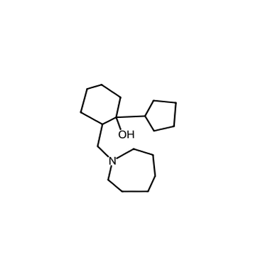 OC1(C2CCCC2)CCCCC1CN1CCCCCC1